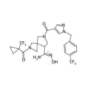 N/C(=N\O)C1CN(C(=O)c2cnn(Cc3ccc(C(F)(F)F)cc3)c2)CC12CN(C(=O)C1(C(F)(F)F)CC1)C2